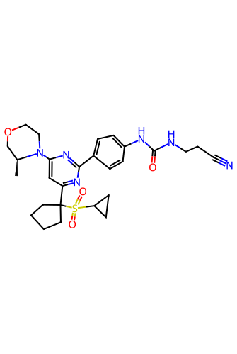 C[C@H]1COCCN1c1cc(C2(S(=O)(=O)C3CC3)CCCC2)nc(-c2ccc(NC(=O)NCCC#N)cc2)n1